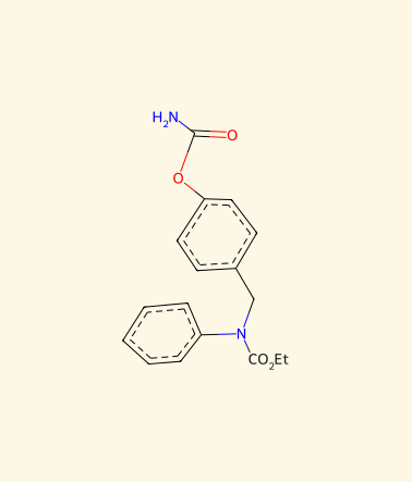 CCOC(=O)N(Cc1ccc(OC(N)=O)cc1)c1ccccc1